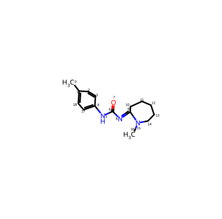 Cc1ccc(NC(=O)N=C2CCCCCN2C)cc1